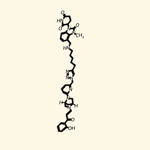 Cn1c(=O)n(C2CCC(=O)NC2=O)c2cccc(CNCCCCCc3cn(Cc4cccc(N5C[C@H]6C[C@@H]5CN6/C=C/C(=O)c5ccccc5O)n4)nn3)c21